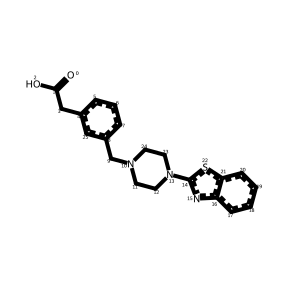 O=C(O)Cc1cccc(CN2CCN(c3nc4ccccc4s3)CC2)c1